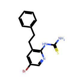 NC(=S)Nc1ncc(Br)cc1CCc1ccccc1